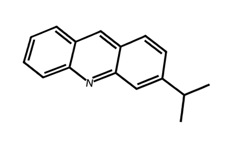 CC(C)c1ccc2cc3ccccc3nc2c1